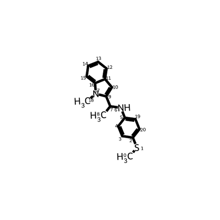 CSc1ccc(NC(C)c2cc3ccccc3n2C)cc1